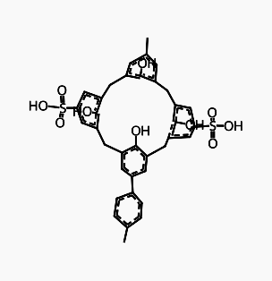 Cc1ccc(-c2cc3c(O)c(c2)Cc2cc(S(=O)(=O)O)cc(c2O)Cc2cc(C)cc(c2O)Cc2cc(S(=O)(=O)O)cc(c2O)C3)cc1